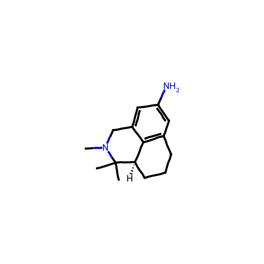 CN1Cc2cc(N)cc3c2[C@@H](CCC3)C1(C)C